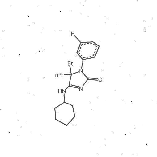 CCCC1(CC)C(NC2CCCCC2)=NC(=O)N1c1cccc(F)c1